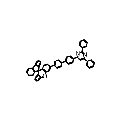 C1=CC2=C(CC1)C1(c3ccccc3Oc3cc(-c4ccc(-c5ccc(-c6cc(-c7ccccc7)nc(-c7ccccc7)n6)cc5)cc4)ccc31)c1ccccc12